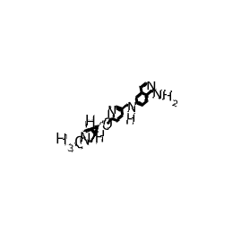 CN1C[C@@H]2[C@@H](COc3ccc(CNc4ccc5c(N)nccc5c4)cn3)[C@@H]2C1